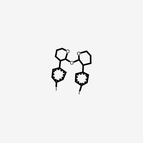 Ic1ccc(C2CCCOC2OC2OCCCC2c2ccc(I)cc2)cc1